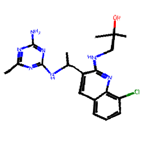 Cc1nc(N)nc(NC(C)c2cc3cccc(Cl)c3nc2NCC(C)(C)O)n1